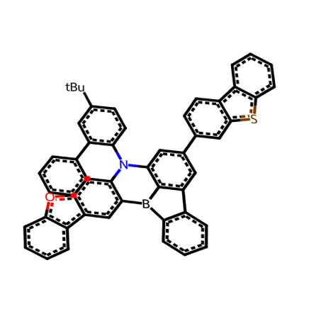 CC(C)(C)c1ccc(N2c3cc4oc5ccccc5c4cc3B3c4ccccc4-c4cc(-c5ccc6c(c5)sc5ccccc56)cc2c43)c(-c2ccccc2)c1